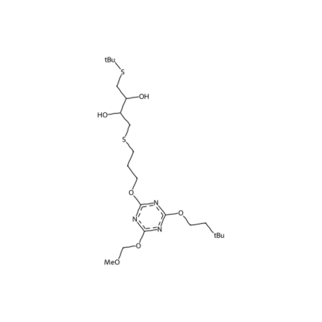 COCOc1nc(OCCCSCC(O)C(O)CSC(C)(C)C)nc(OCCC(C)(C)C)n1